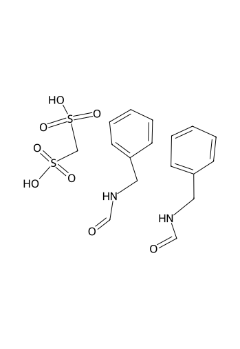 O=CNCc1ccccc1.O=CNCc1ccccc1.O=S(=O)(O)CS(=O)(=O)O